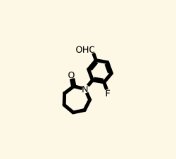 O=Cc1ccc(F)c(N2CCCCCC2=O)c1